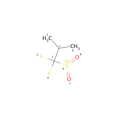 CC(C)C(F)(F)[SH](=O)=O